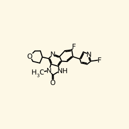 Cn1c(=O)[nH]c2c3cc(-c4ccc(F)nc4)c(F)cc3nc(C3CCOCC3)c21